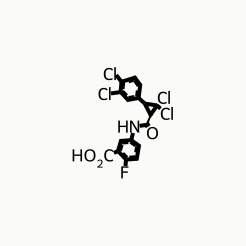 O=C(O)c1cc(NC(=O)[C@H]2C(c3ccc(Cl)c(Cl)c3)C2(Cl)Cl)ccc1F